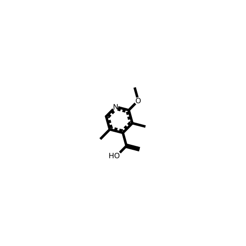 C=C(O)c1c(C)cnc(OC)c1C